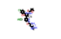 Cl.Cl.N#Cc1c(-c2cccc(NC(=O)[C@@H](N)Cc3c[nH]cn3)c2)cc(-c2ccc(Cl)cc2O)nc1NC(=O)c1ccco1